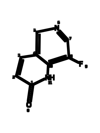 O=c1ccc2cncc(F)c2[nH]1